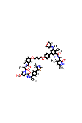 CCN(c1cc(-c2ccc(OCCCCOc3ccc4c(c3)C(=O)N(C(C(=O)N3C[C@H](O)C[C@H]3C(=O)NC(C)c3ccc(-c5scnc5C)cc3)C(C)C)C4)cc2)cc(C(=O)NCc2c(C)cc(C)[nH]c2=O)c1C)C1CCOCC1